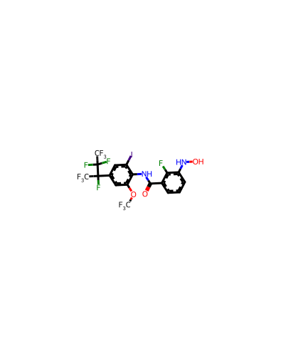 O=C(Nc1c(I)cc(C(F)(C(F)(F)F)C(F)(F)C(F)(F)F)cc1OC(F)(F)F)c1cccc(NO)c1F